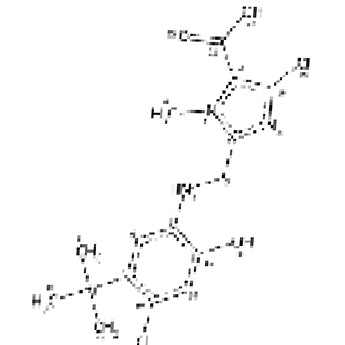 Cn1c(CNc2cc(C(C)(C)C)c(Cl)cc2O)nc(Cl)c1C(=O)O